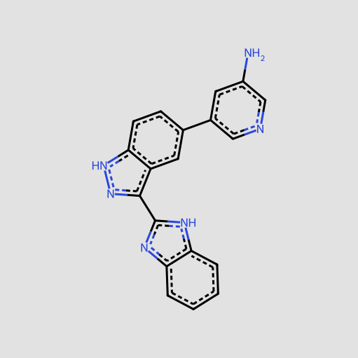 Nc1cncc(-c2ccc3[nH]nc(-c4nc5ccccc5[nH]4)c3c2)c1